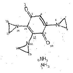 N.N.O=C1C=C(N2CC2)C(=O)C(N2CC2)=C1N1CC1